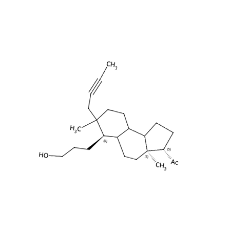 CC#CCC1(C)CCC2C(CC[C@@]3(C)C2CC[C@@H]3C(C)=O)[C@H]1CCCO